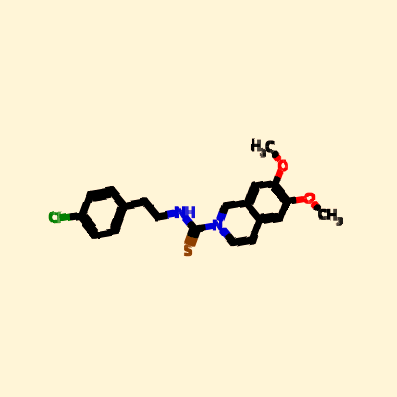 COc1cc2c(cc1OC)CN(C(=S)NCCc1ccc(Cl)cc1)CC2